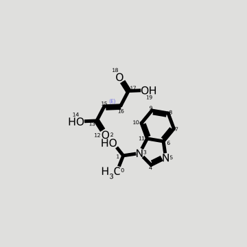 CC(O)n1cnc2ccccc21.O=C(O)/C=C/C(=O)O